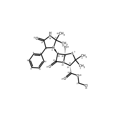 CC1(C)S[C@@H]2[C@H](N3C(c4ccccc4)C(=O)NC3(C)C)C(=O)N2[C@H]1C(=O)OCCl